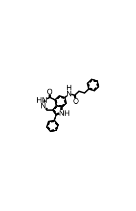 O=C(CCc1ccccc1)Nc1cc2c3c(c(-c4ccccc4)[nH]c3c1)C=NNC2=O